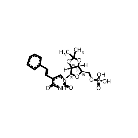 CC1(C)O[C@@H]2[C@H](O1)[C@@H](COP(=O)(O)O)O[C@H]2n1cc(C=Cc2ccccc2)c(=O)[nH]c1=O